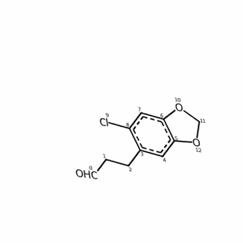 O=CCCc1cc2c(cc1Cl)OCO2